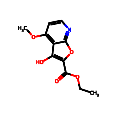 CCOC(=O)c1oc2nccc(OC)c2c1O